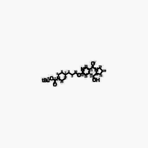 CC(C)(C)OC(=O)N1CCC(CCCOc2ccc(C(=O)N3CCC[C@H]3CO)cn2)CC1